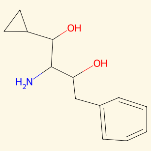 NC(C(O)Cc1ccccc1)C(O)C1CC1